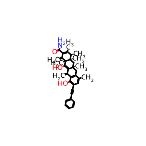 C=C1C2=C(O)[C@]3(C)C(=C)C(C(N)=O)=C(C)[C@@H](C)[C@]3(C)C[C@]2(C)Cc2c(C)cc(C#Cc3ccccc3)c(O)c21